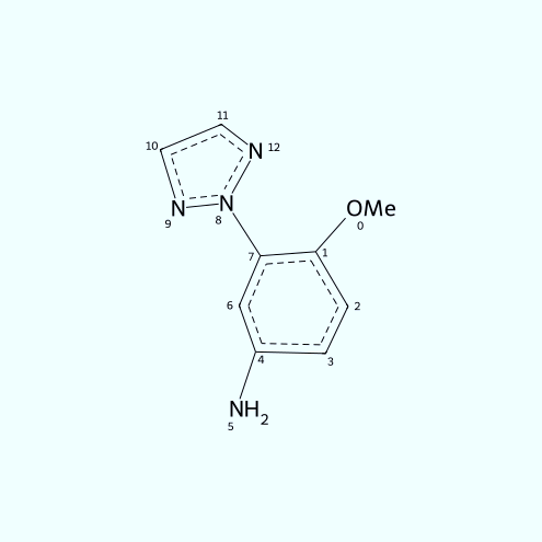 COc1ccc(N)cc1-n1nccn1